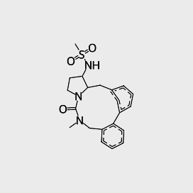 CN1Cc2ccccc2-c2cccc(c2)CC2C(NS(C)(=O)=O)CCN2C1=O